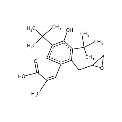 CC(=Cc1cc(C(C)(C)C)c(O)c(C(C)(C)C)c1CC1CO1)C(=O)O